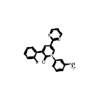 O=c1c(-c2ccccc2F)cc(-c2ncccn2)cn1-c1cccc(N[18F])c1